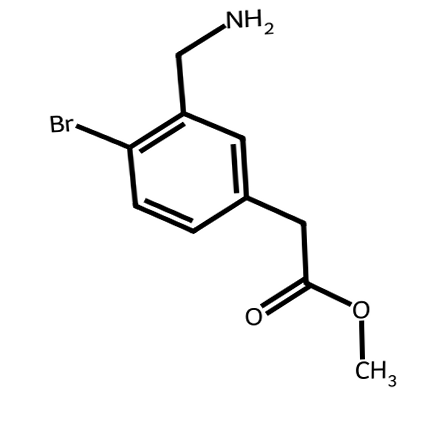 COC(=O)Cc1ccc(Br)c(CN)c1